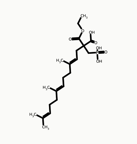 CCOC(=O)C(C/C=C(\C)CC/C=C(\C)CCC=C(C)C)(CP(=O)(O)O)C(=O)O